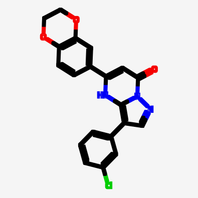 O=c1cc(-c2ccc3c(c2)OCCO3)[nH]c2c(-c3cccc(Cl)c3)cnn12